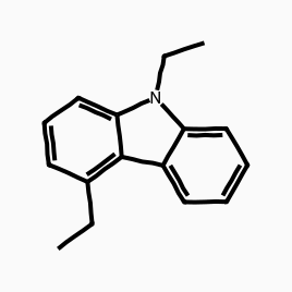 CCc1cccc2c1c1ccccc1n2CC